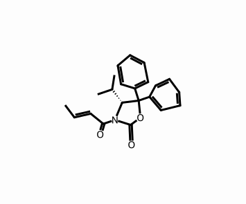 CC=CC(=O)N1C(=O)OC(c2ccccc2)(c2ccccc2)[C@H]1C(C)C